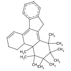 CC1(C)C2=C3Cc4ccccc4C3=C3C=CCCC3C2(C)C(C)(C)C(C)(C)C1(C)C